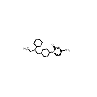 CCN(CC1CCC(n2ccc(N)nc2=O)CC1)C1CCCCC1